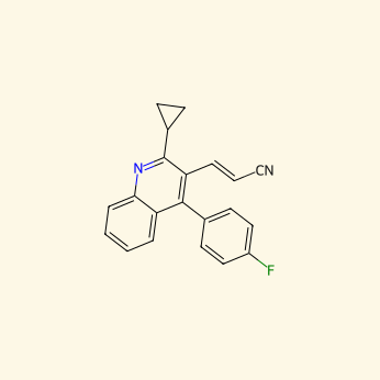 N#CC=Cc1c(C2CC2)nc2ccccc2c1-c1ccc(F)cc1